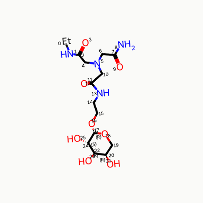 CCNC(=O)CN(CC(N)=O)CC(=O)NCCO[C@@H]1OC[C@@H](O)[C@@H](O)[C@@H]1O